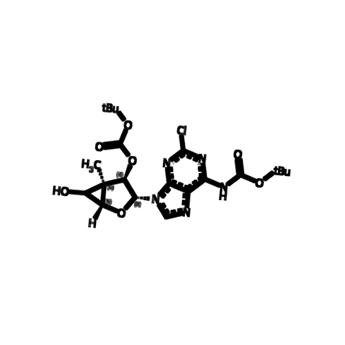 CC(C)(C)OC(=O)Nc1nc(Cl)nc2c1ncn2[C@@H]1O[C@@H]2C(O)[C@@]2(C)[C@H]1OC(=O)OC(C)(C)C